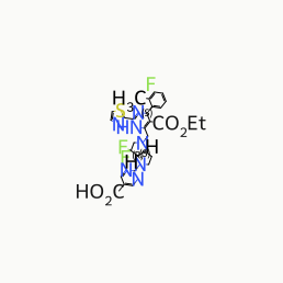 CCOC(=O)C1=C(CN2CC(F)(F)[C@H]3[C@@H]2CCN3c2ncc(C(=O)O)cn2)NC(c2nccs2)=N[C@H]1c1cccc(F)c1C